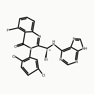 CC[C@H](Nc1ncnc2[nH]cnc12)c1nc2cccc(F)c2c(=O)n1-c1cc(Cl)ccc1Cl